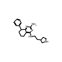 Nc1nc(NCCC2CCNC2)c2c(n1)C(c1ccccc1)CCC2